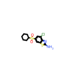 Nc1nc2c(Cl)cc(S(=O)(=O)C3CCCCC3)cc2s1